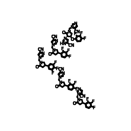 N#Cc1cn(CN2CC(c3cc(F)c(F)c(F)c3)CC2=O)cn1.N#Cc1cn(CN2CC(c3ccc(F)c(F)c3F)CC2=O)cn1.N#Cc1cn(CN2CC(c3ccc(F)c(F)c3F)CC2=O)cn1.N#Cc1cnc[nH]1.N#Cc1cncn1CN1CC(Oc2ccc(F)c(F)c2F)CC1=O.N#Cc1cncn1CN1CC(c2ccc(F)c(F)c2F)CC1=O